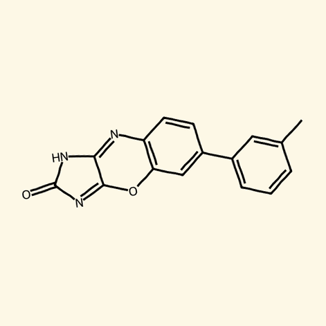 Cc1cccc(-c2ccc3nc4[nH]c(=O)nc-4oc3c2)c1